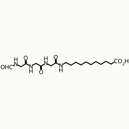 O=CNCC(=O)NCC(=O)NCC(=O)NCCCCCCCCCCC(=O)O